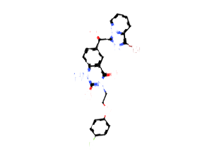 O=C(c1ccc2[nH]c(=O)n(CCOc3ccc(F)cc3)c(=O)c2c1)c1nc(Br)c2ccccn12